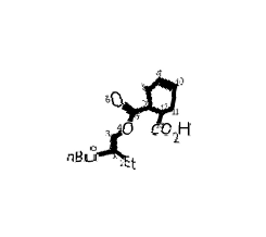 CCCCC(CC)COC(=O)C1CC=CCC1C(=O)O